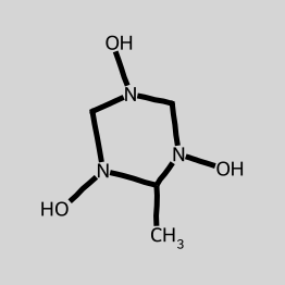 CC1N(O)CN(O)CN1O